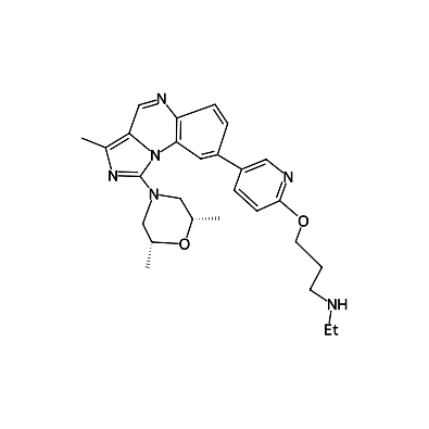 CCNCCCOc1ccc(-c2ccc3ncc4c(C)nc(N5C[C@@H](C)O[C@@H](C)C5)n4c3c2)cn1